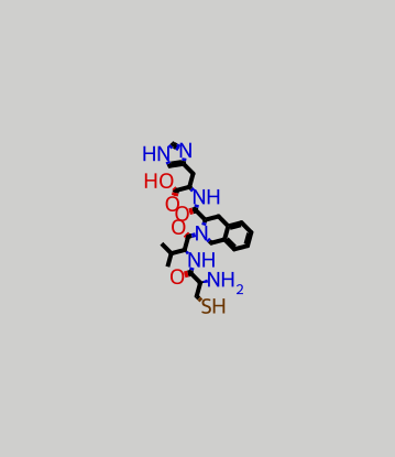 CC(C)[C@H](NC(=O)[C@@H](N)CS)C(=O)N1Cc2ccccc2CC1C(=O)NC(Cc1c[nH]cn1)C(=O)O